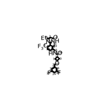 CCc1cc(=O)[nH]c(-c2c(C(F)(F)F)ccc(CNC(=O)[C@H]3C[C@H](OCc4cc(F)cc(F)c4)C3)c2F)n1